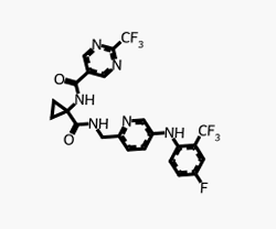 O=C(NC1(C(=O)NCc2ccc(Nc3ccc(F)cc3C(F)(F)F)cn2)CC1)c1cnc(C(F)(F)F)nc1